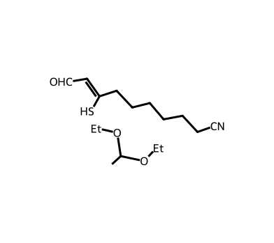 CCOC(C)OCC.N#CCCCCCCC(S)=CC=O